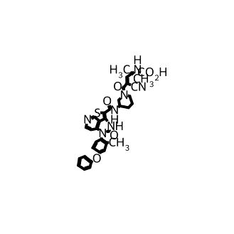 Cc1cc(Oc2ccccc2)ccc1N1C(=O)Nc2c(C(=O)NC3CCCN(C(=O)/C(C#N)=C/C(C)(C)NC(=O)O)C3)sc3nccc1c23